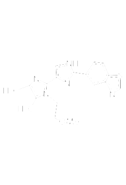 COCCn1c(-c2c[nH]c(-c3ccc4scnc4c3)n2)nc(C)c1C